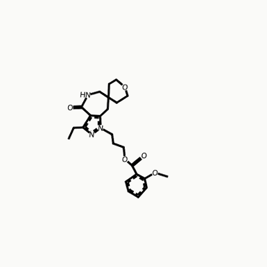 CCc1nn(CCCOC(=O)c2ccccc2OC)c2c1C(=O)NCC1(CCOCC1)C2